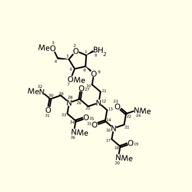 B[C@@H]1O[C@H](COC)C(OC)[C@@H]1OCCN(CC(=O)N(CC(=O)NC)CC(=O)NC)CC(=O)N(CC(=O)NC)CC(=O)NC